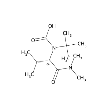 CC(C)[C@@H](C(=O)N(C)C)N(C(=O)O)C(C)(C)C